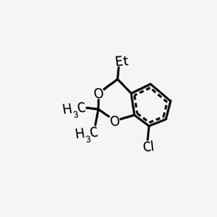 CCC1OC(C)(C)Oc2c(Cl)cccc21